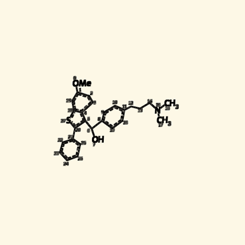 COc1ccc2c(C(O)c3ccc(CCCN(C)C)cc3)c(-c3ccccc3)sc2c1